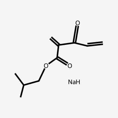 C=CC(=O)C(=C)C(=O)OCC(C)C.[NaH]